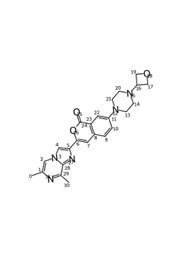 Cc1cn2cc(-c3cc4ccc(N5CCN(C6COC6)CC5)cc4c(=O)o3)nc2c(C)n1